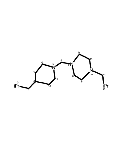 CC(C)CC1CCN(CN2CCN(CC(C)C)CC2)CC1